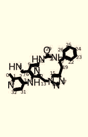 Cc1cc(Nc2c(C=N)cc3nc2Cn2cc(nn2)CC(c2ccccc2)NC(=O)N3)ccn1